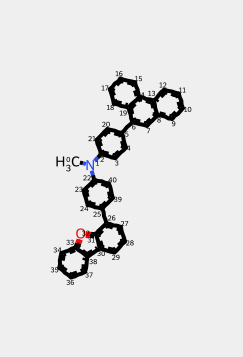 CN(c1ccc(-c2cc3ccccc3c3ccccc23)cc1)c1ccc(-c2cccc3c2oc2ccccc23)cc1